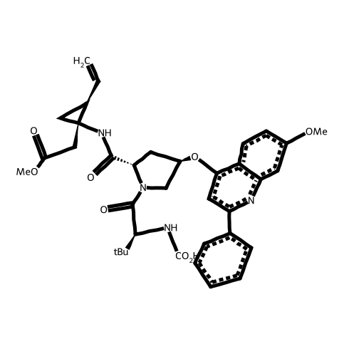 C=C[C@@H]1C[C@@]1(CC(=O)OC)NC(=O)[C@@H]1C[C@@H](Oc2cc(-c3ccccc3)nc3cc(OC)ccc23)CN1C(=O)[C@@H](NC(=O)O)C(C)(C)C